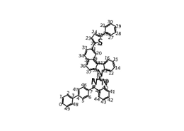 c1ccc(-c2ccc(-c3nc(-n4c5ccccc5c5c6cc(-c7ccc(-c8ccccc8)s7)ccc6ccc54)nc4ccccc34)cc2)cc1